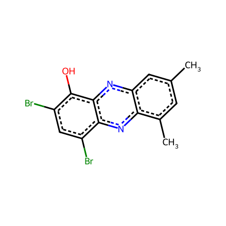 Cc1cc(C)c2nc3c(Br)cc(Br)c(O)c3nc2c1